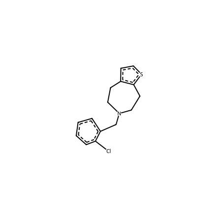 Clc1ccccc1CN1CCc2ccsc2CC1